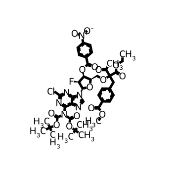 CCOC(=O)C(Cc1ccc(C(=O)OC)cc1)(OC[C@H]1O[C@@H](n2cnc3c(N(C(=O)OC(C)(C)C)C(=O)OC(C)(C)C)nc(Cl)nc32)[C@@H](F)[C@H]1OC(=O)c1ccc([N+](=O)[O-])cc1)C(C)=O